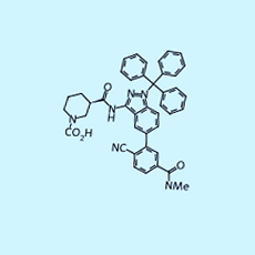 CNC(=O)c1ccc(C#N)c(-c2ccc3c(c2)c(NC(=O)[C@@H]2CCCN(C(=O)O)C2)nn3C(c2ccccc2)(c2ccccc2)c2ccccc2)c1